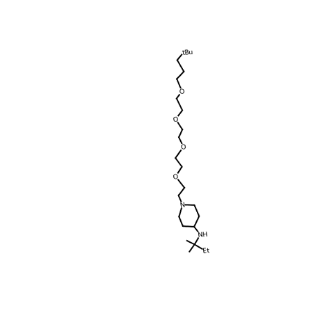 CCC(C)(C)NC1CCN(CCOCCOCCOCCOCCCC(C)(C)C)CC1